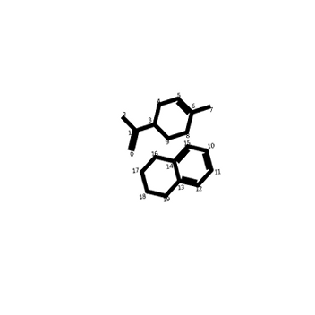 C=C(C)C1CC=C(C)CC1.c1ccc2c(c1)CCCC2